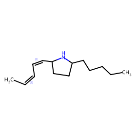 C/C=C\C=C/C1CCC(CCCCC)N1